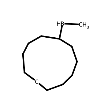 CBC1CCCCCCCCCC1